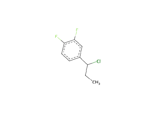 CCC(Cl)c1ccc(F)c(F)c1